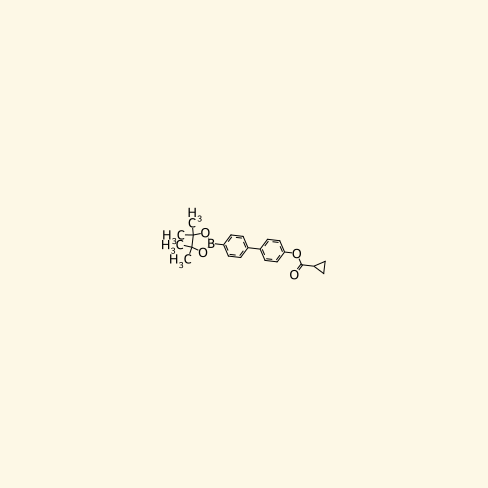 CC1(C)OB(c2ccc(-c3ccc(OC(=O)C4CC4)cc3)cc2)OC1(C)C